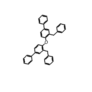 c1ccc(Cc2cc(-c3ccccc3)ccc2Oc2ccc(-c3ccccc3)cc2Cc2ccccc2)cc1